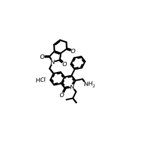 CC(C)Cn1c(CN)c(-c2ccccc2)c2cc(CN3C(=O)C4=C(C(=O)CC=C4)C3=O)ccc2c1=O.Cl